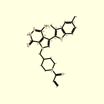 C=CC(=O)N1CCC(Cn2cc(-c3oc4ccc(C)cc4c3C)c3c(N)n[nH]c(=O)c32)CC1